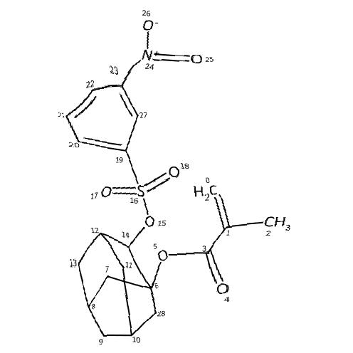 C=C(C)C(=O)OC12CC3CC(CC(C3)C1OS(=O)(=O)c1cccc([N+](=O)[O-])c1)C2